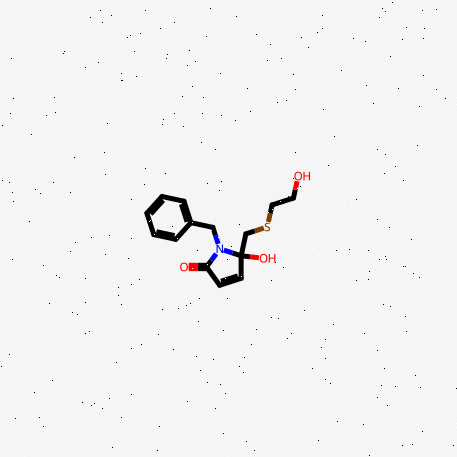 O=C1C=CC(O)(CSCCO)N1Cc1ccccc1